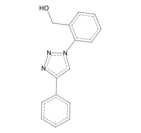 OCc1ccccc1-n1cc(-c2ccccc2)nn1